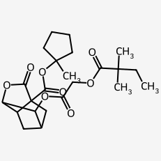 CCC(C)(C)C(=O)OCC(=O)OC1C2CC3C1OC(=O)C3(C(=O)OC1(C)CCCC1)C2